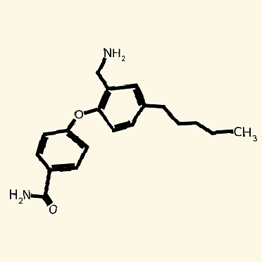 CCCCCc1ccc(Oc2ccc(C(N)=O)cc2)c(CN)c1